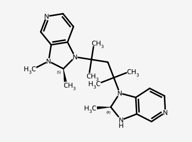 C[C@@H]1Nc2cnccc2N1C(C)(C)CC(C)(C)N1c2ccncc2N(C)[C@@H]1C